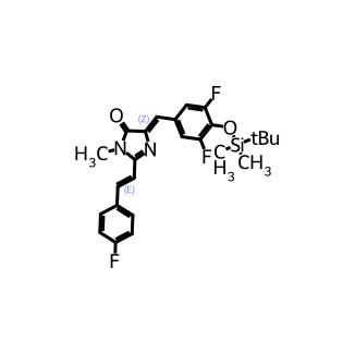 CN1C(=O)/C(=C/c2cc(F)c(O[Si](C)(C)C(C)(C)C)c(F)c2)N=C1/C=C/c1ccc(F)cc1